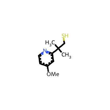 COc1ccnc(C(C)(C)CS)c1